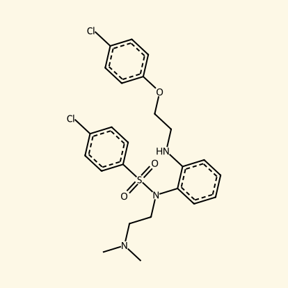 CN(C)CCN(c1ccccc1NCCOc1ccc(Cl)cc1)S(=O)(=O)c1ccc(Cl)cc1